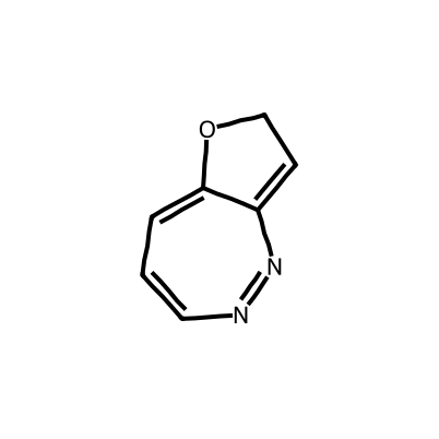 C1=CN=NC2=CCOC2=C1